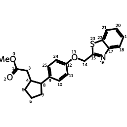 COC(=O)CC1CCCC1c1ccc(OCc2nc3ccccc3s2)cc1